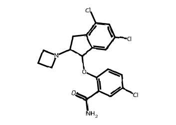 NC(=O)c1cc(Cl)ccc1OC1c2cc(Cl)cc(Cl)c2CC1N1CCC1